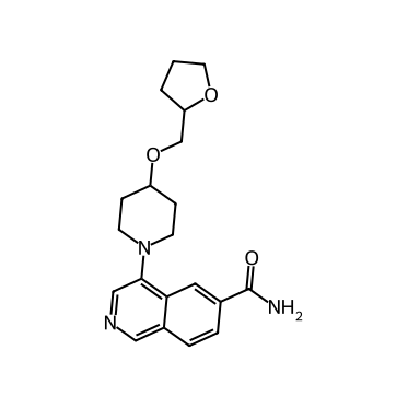 NC(=O)c1ccc2cncc(N3CCC(OCC4CCCO4)CC3)c2c1